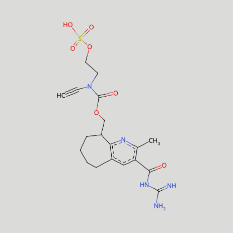 C#CN(CCOS(=O)(=O)O)C(=O)OCC1CCCCc2cc(C(=O)NC(=N)N)c(C)nc21